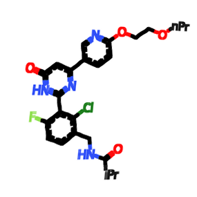 CCCOCCOc1ccc(-c2cc(=O)[nH]c(-c3c(F)ccc(CNC(=O)C(C)C)c3Cl)n2)cn1